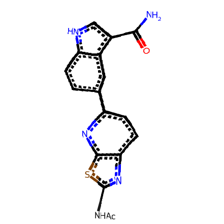 CC(=O)Nc1nc2ccc(-c3ccc4[nH]cc(C(N)=O)c4c3)nc2s1